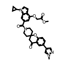 COC(=O)COc1cc(C(=O)N2CCC3(CC2)CC(=O)c2cc(-c4cnn(C)c4)ccc2O3)cc2c1ccn2C1CC1